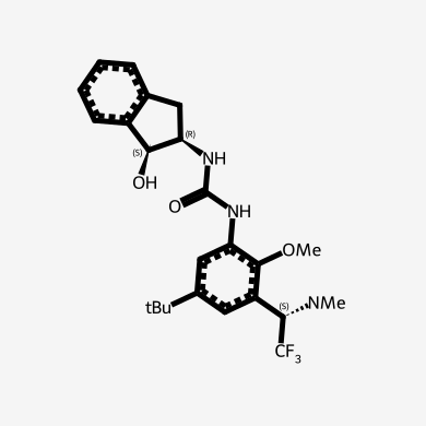 CN[C@@H](c1cc(C(C)(C)C)cc(NC(=O)N[C@@H]2Cc3ccccc3[C@@H]2O)c1OC)C(F)(F)F